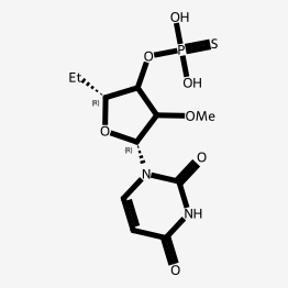 CC[C@H]1O[C@@H](n2ccc(=O)[nH]c2=O)C(OC)C1OP(O)(O)=S